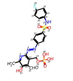 Cc1nc(N=Nc2ccc(S(=O)(=O)Nc3ccc(F)cc3)cc2)c(COP(=O)(O)O)c(C=O)c1O